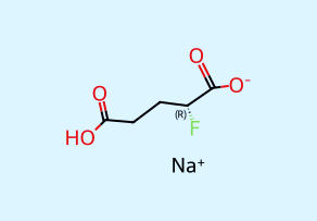 O=C(O)CC[C@@H](F)C(=O)[O-].[Na+]